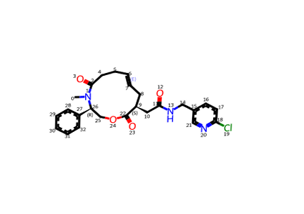 CN1C(=O)CC/C=C/C[C@@H](CC(=O)NCc2ccc(Cl)nc2)C(=O)OC[C@H]1c1ccccc1